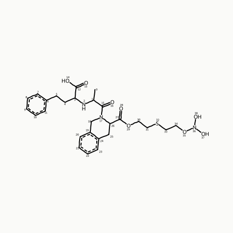 CC(NC(CCc1ccccc1)C(=O)O)C(=O)N1Cc2ccccc2CC1C(=O)OCCSCCON(O)O